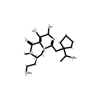 CCCCC(C)C1(CC2=NC(O)C(O)=C3C(=O)N(C)[C@H](CCOC)CN23)CCCC1